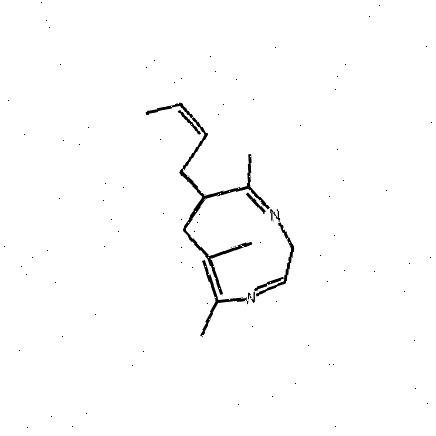 C/C=C\CC1C/C(C)=C(C)/N=C\C/N=C\1C